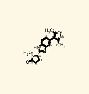 Cc1noc(C)c1-c1ccc2[nH]c([C@@H]3CCC(=O)N3C)nc2c1